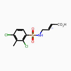 Cc1c(Cl)ccc(S(=O)(=O)NC/C=C/C(=O)O)c1Cl